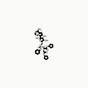 N#C[C@@]1(c2ccc3c(N)ncnn23)O[C@H](CO[P@@](=O)(N[C@@H](CC(=O)OC2CCCC2)C(=O)OC2CCCC2)Oc2ccccc2)[C@@H](O)[C@H]1O